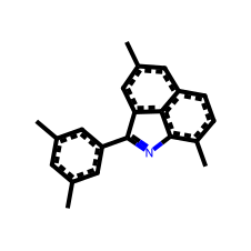 Cc1cc(C)cc(C2=Nc3c(C)ccc4cc(C)cc2c34)c1